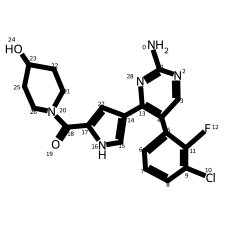 Nc1ncc(-c2cccc(Cl)c2F)c(-c2c[nH]c(C(=O)N3CCC(O)CC3)c2)n1